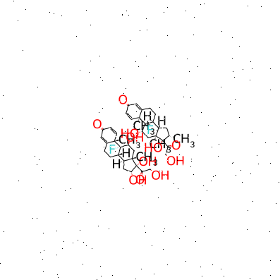 C[C@H]1C[C@H]2[C@@H]3CCC4=CC(=O)C=C[C@]4(C)[C@@]3(F)[C@@H](O)C[C@]2(C)[C@@]1(O)C(=O)CO.C[C@]12C=CC(=O)C=C1CC[C@H]1[C@@H]3C[C@@H](O)[C@](O)(C(=O)CO)[C@@]3(C)C[C@H](O)[C@@]12F